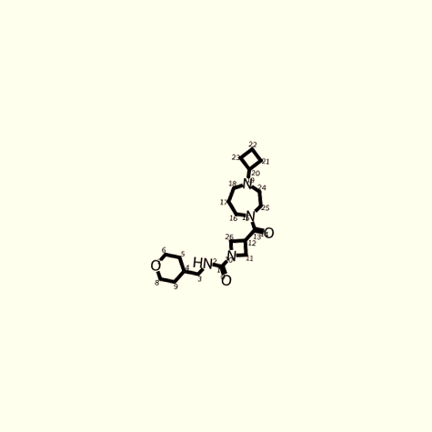 O=C(NCC1CCOCC1)N1CC(C(=O)N2CCCN(C3CCC3)CC2)C1